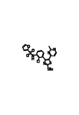 Cc1nccc(-c2sc(C(C)(C)C)nc2-c2cccc(NS(=O)(=O)c3ccco3)c2Cl)n1